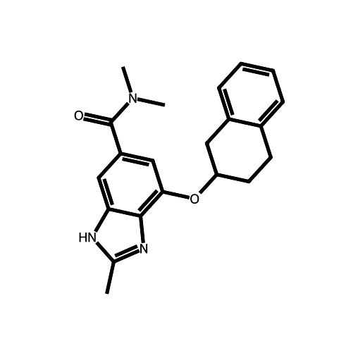 Cc1nc2c(OC3CCc4ccccc4C3)cc(C(=O)N(C)C)cc2[nH]1